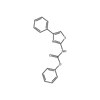 O=C(Nc1nc(-c2ccccc2)cs1)Oc1ccccc1